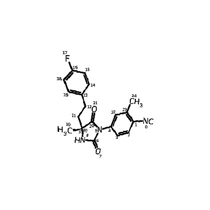 [C-]#[N+]c1ccc(N2C(=O)N[C@](C)(CCc3ccc(F)cc3)C2=O)cc1C